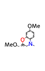 COC[C@H]1CN(C)c2ccc(OC)cc2O1